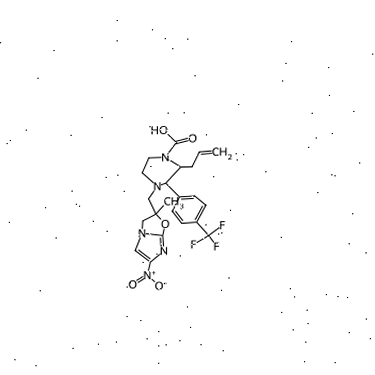 C=CCC1C(c2ccc(C(F)(F)F)cc2)N(CC2(C)Cn3cc([N+](=O)[O-])nc3O2)CCN1C(=O)O